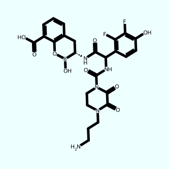 NCCCN1CCN(C(=O)NC(C(=O)N[C@H]2Cc3cccc(C(=O)O)c3OB2O)c2ccc(O)c(F)c2F)C(=O)C1=O